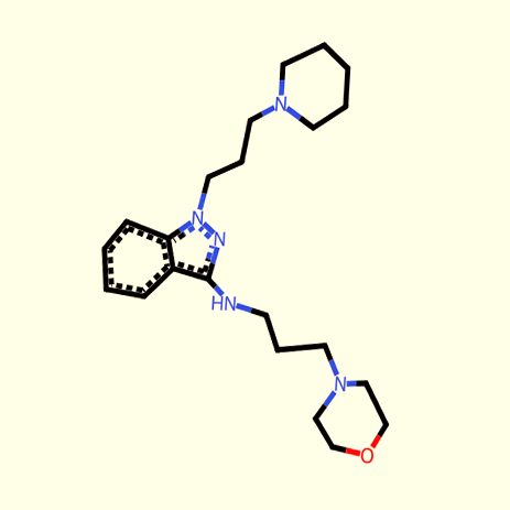 c1ccc2c(c1)c(NCCCN1CCOCC1)nn2CCCN1CCCCC1